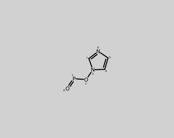 O=POn1ccnc1